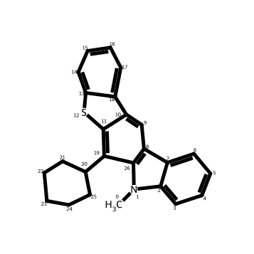 Cn1c2ccccc2c2cc3c(sc4ccccc43)c(C3CCCCC3)c21